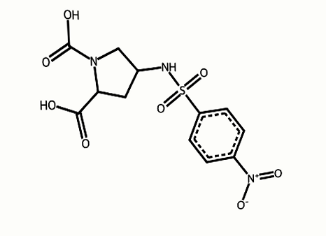 O=C(O)C1CC(NS(=O)(=O)c2ccc([N+](=O)[O-])cc2)CN1C(=O)O